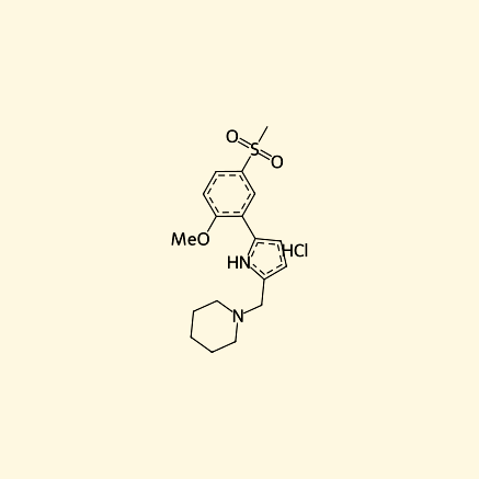 COc1ccc(S(C)(=O)=O)cc1-c1ccc(CN2CCCCC2)[nH]1.Cl